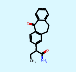 CCC(C(N)=O)c1ccc2c(c1)CCc1ccccc1C2=O